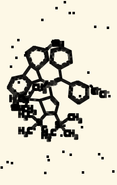 CC(C)(C)c1ccc2c(c1)[CH]([Zr+2]([C]1=CC([Si](C)(C)C)=C([Si](C)(C)C)C1[Si](C)(C)C)=[C](c1ccccc1)c1ccccc1)c1cc(C(C)(C)C)ccc1-2.[Cl-].[Cl-]